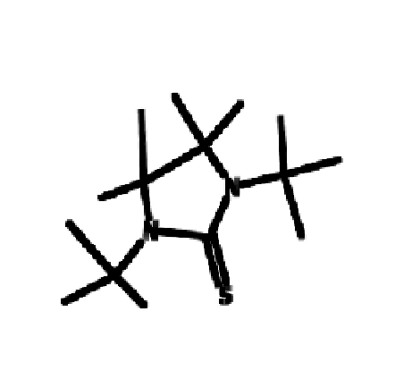 CC(C)(C)N1C(=S)N(C(C)(C)C)C(C)(C)C1(C)C